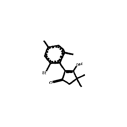 CCc1cc(C)cc(C)c1C1=C(O)C(C)(C)CC1=O